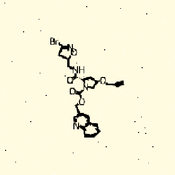 C#CCO[C@@H]1C[C@@H](C(=O)NCC2CC(Br)=NO2)N(C(=O)OCc2cnc3ccccc3c2)C1